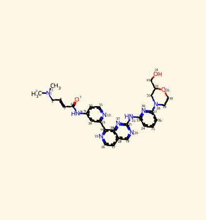 CN(C)C/C=C/C(=O)Nc1ccnc(-c2nccc3cnc(Nc4cccc(N5CCOC(CO)C5)n4)nc23)c1